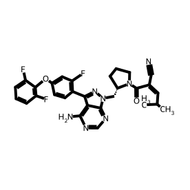 CC(C)/C=C(/C#N)C(=O)N1CCC[C@H]1Cn1nc(-c2ccc(Oc3c(F)cccc3F)cc2F)c2c(N)ncnc21